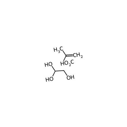 C=C(C)C(=O)O.OCC(O)O